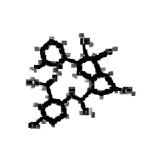 Cc1cc([C@@H](C)Nc2ccc(Cl)nc2C(N)=O)c2oc(-c3cccc(F)n3)c(C)c(=O)c2c1